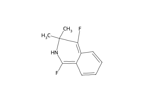 CC1(C)NC(F)=c2ccccc2=C1F